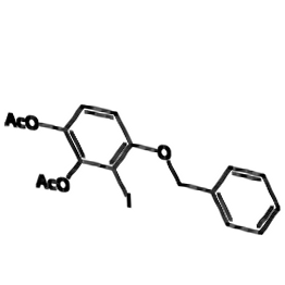 CC(=O)Oc1ccc(OCc2ccccc2)c(I)c1OC(C)=O